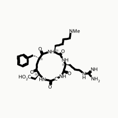 CNCCCC[C@@H]1NC(=O)[C@@H](Cc2ccccc2)CC(=O)[C@H](CC(=O)O)NC(=O)CNC(=O)[C@H](CCCNC(=N)N)NC1=O